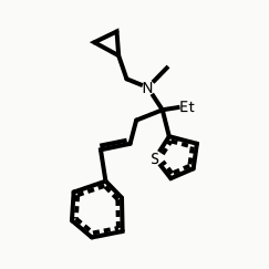 CCC(CC=Cc1ccccc1)(c1cccs1)N(C)CC1CC1